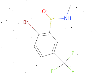 CN[S+]([O-])c1cc(C(F)(F)F)ccc1Br